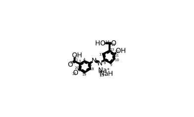 O=C(O)c1cc(/N=N/c2ccc(O)c(C(=O)O)c2)ccc1[O-].[Na+].[NaH]